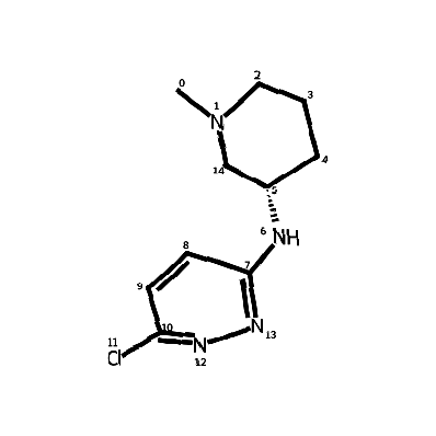 CN1CCC[C@H](Nc2ccc(Cl)nn2)C1